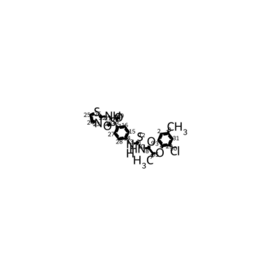 Cc1ccc(OC(C)C(=O)NC(=S)Nc2ccc(S(=O)(=O)Nc3nccs3)cc2)c(Cl)c1